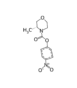 C[C@@H]1COCCN1C(=O)Oc1ccc([N+](=O)[O-])cc1